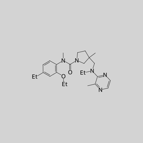 CCOc1cc(CC)ccc1N(C)C(=O)N1CCC(C)(CN(CC)c2nccnc2C)C1